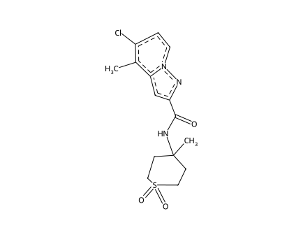 Cc1c(Cl)ccn2nc(C(=O)NC3(C)CCS(=O)(=O)CC3)cc12